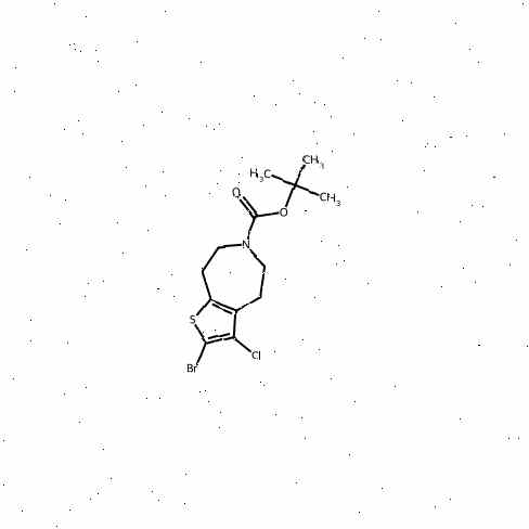 CC(C)(C)OC(=O)N1CCc2sc(Br)c(Cl)c2CC1